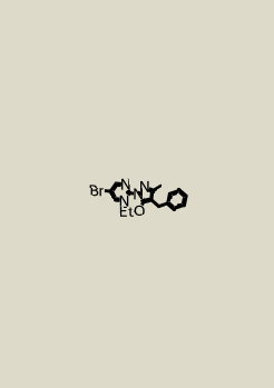 CCOc1c(Cc2ccccc2)c(C)nn1-c1ncc(Br)cn1